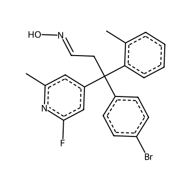 Cc1cc(C(CC=NO)(c2ccc(Br)cc2)c2ccccc2C)cc(F)n1